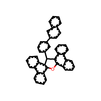 c1cc(-c2ccc3ccccc3c2)cc(C2c3c(c4ccccc4c4ccccc34)Oc3c2c2ccccc2c2ccccc32)c1